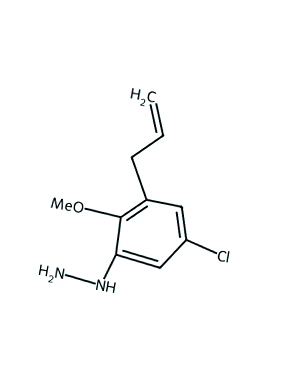 C=CCc1cc(Cl)cc(NN)c1OC